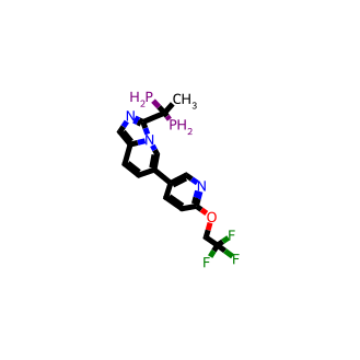 CC(P)(P)c1ncc2ccc(-c3ccc(OCC(F)(F)F)nc3)cn12